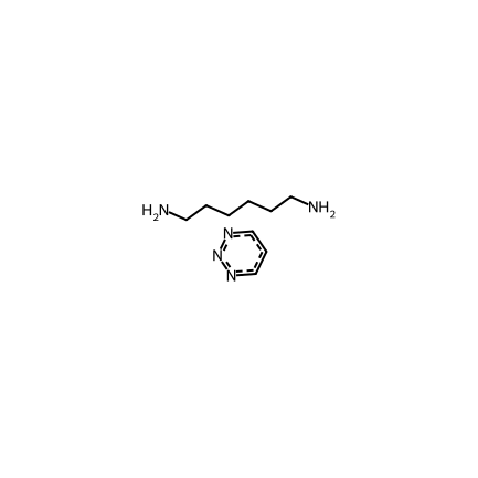 NCCCCCCN.c1cnnnc1